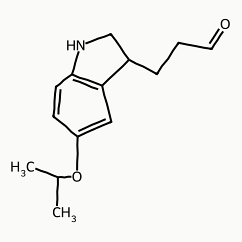 CC(C)Oc1ccc2c(c1)C(CCC=O)CN2